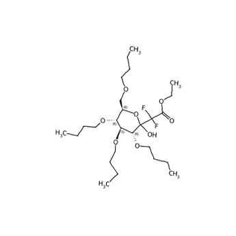 CCCCOC[C@H]1OC(O)(C(F)(F)C(=O)OCC)[C@H](OCCCC)[C@@H](OCCCC)[C@@H]1OCCCC